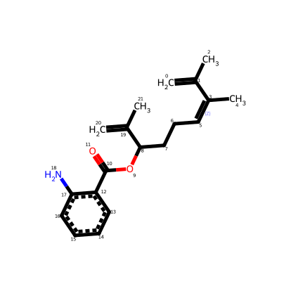 C=C(C)/C(C)=C\CCC(OC(=O)c1ccccc1N)C(=C)C